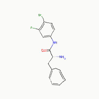 N[C@H](Cc1ccccc1)C(=O)Nc1ccc(Br)c(F)c1